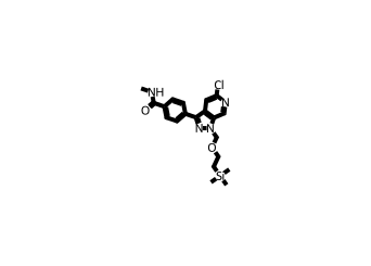 CNC(=O)c1ccc(-c2nn(COCC[Si](C)(C)C)c3cnc(Cl)cc23)cc1